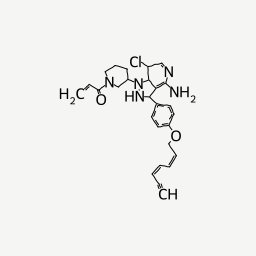 C#C/C=C\C=C/COc1ccc(C2NN(C3CCCN(C(=O)C=C)C3)C3C2=C(N)N=CC3Cl)cc1